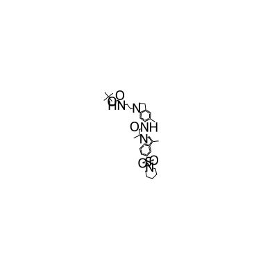 Cc1cc2c(cc1NC(=O)C(C)n1cc(C)c3cc(S(=O)(=O)N4CCCCC4)ccc31)N(CCNC(=O)OC(C)(C)C)CC2